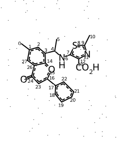 Cc1cc(C(C)Nc2sc(C)nc2C(=O)O)c2oc(-c3ccccc3)cc(=O)c2c1